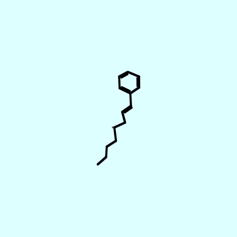 CCCC[CH]CC=Cc1ccccc1